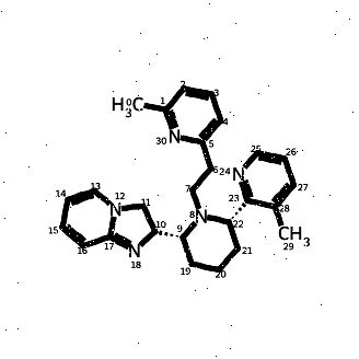 Cc1cccc(CCN2[C@@H](C3CN4C=CC=CC4=N3)CCC[C@H]2c2ncccc2C)n1